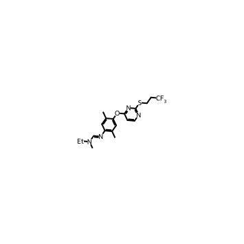 CCN(C)C=Nc1cc(C)c(Oc2ccnc(SCCC(F)(F)F)n2)cc1C